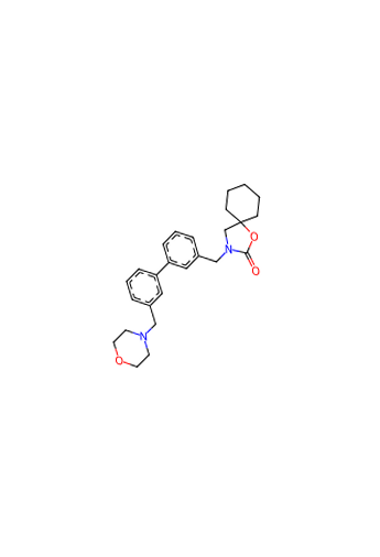 O=C1OC2(CCCCC2)CN1Cc1cccc(-c2cccc(CN3CCOCC3)c2)c1